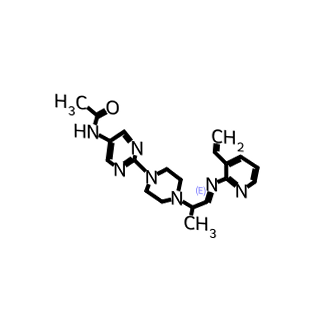 C=Cc1cccnc1/N=C/C(C)N1CCN(c2ncc(NC(C)=O)cn2)CC1